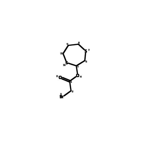 O=C(CBr)OC1CSCCCS1